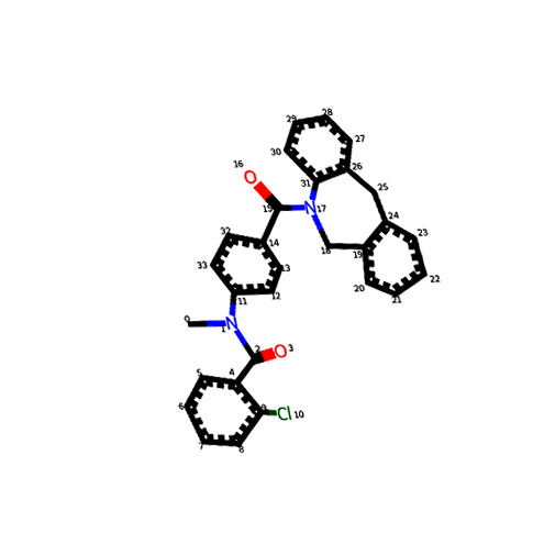 CN(C(=O)c1ccccc1Cl)c1ccc(C(=O)N2Cc3ccccc3Cc3ccccc32)cc1